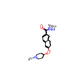 CC(C)N1CCC(Oc2ccc3cc(C(=O)NC(C)(C)C)ccc3c2)CC1